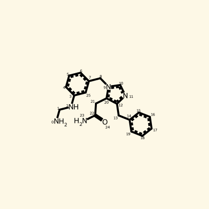 NCNc1cccc(Cn2cnc(Cc3ccccc3)c2CC(N)=O)c1